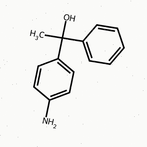 CC(O)(c1ccccc1)c1ccc(N)cc1